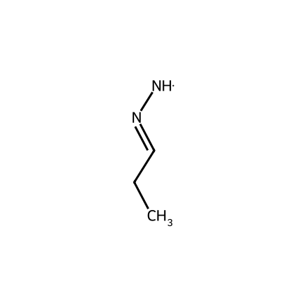 CCC=N[NH]